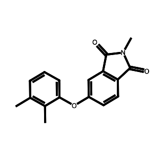 Cc1cccc(Oc2ccc3c(c2)C(=O)N(C)C3=O)c1C